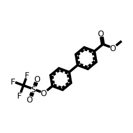 COC(=O)c1ccc(-c2ccc(OS(=O)(=O)C(F)(F)F)cc2)cc1